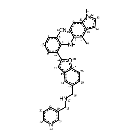 Cc1c(Nc2c(C#N)cncc2-c2cc3cc(CNCc4cccnc4)ccc3o2)ccc2[nH]ccc12